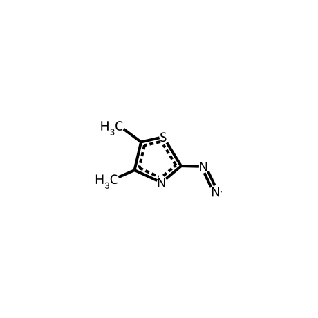 Cc1nc(N=[N])sc1C